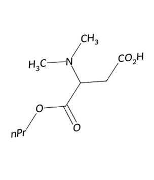 CCCOC(=O)C(CC(=O)O)N(C)C